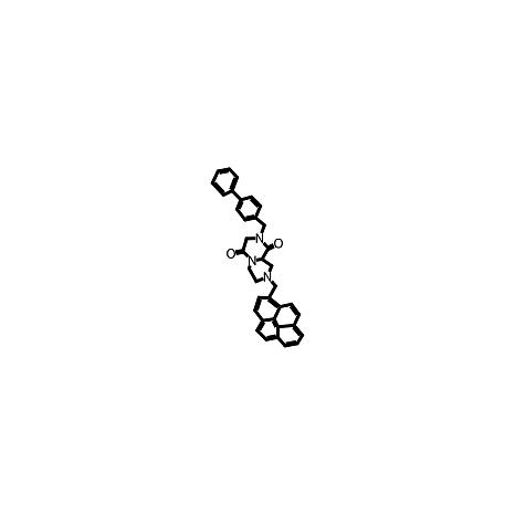 O=C1C2CN(Cc3ccc4ccc5cccc6ccc3c4c56)CCN2C(=O)CN1Cc1ccc(-c2ccccc2)cc1